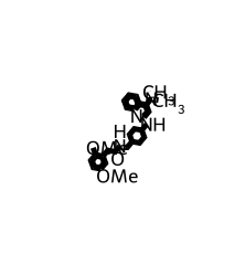 COc1ccc(OC)c(CC(=O)NCC2CCC(Nc3cc(N(C)C)c4ccccc4n3)CC2)c1